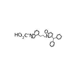 O=C(O)Cn1ccc2c(CCCn3cc(C(c4ccccc4)c4ccccc4)ccc3=O)cccc21